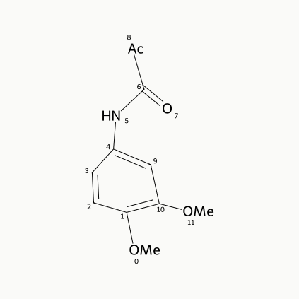 COc1ccc(NC(=O)C(C)=O)cc1OC